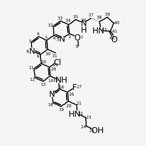 COc1nc(-c2ccnc(-c3cccc(Nc4nccc(CNCCO)c4F)c3Cl)c2C)ccc1CNC[C@@H]1CCC(=O)N1